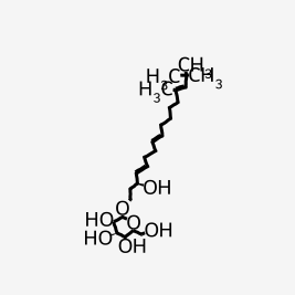 C/C(=C\C(C)(C)C)CCCCC=CCC/C=C/[C@@H](O)CCO[C@@H]1OC(CO)[C@@H](O)[C@H](O)C1O